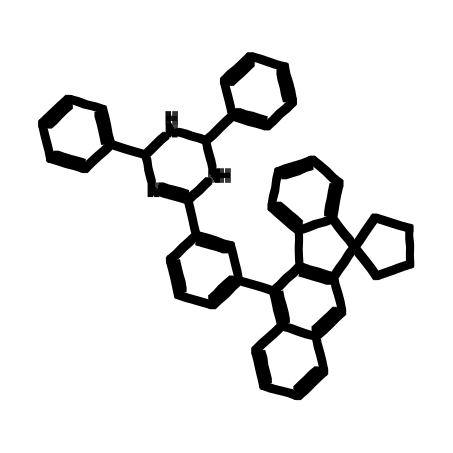 c1ccc(C2N=C(c3cccc(-c4c5c(cc6ccccc46)C4(CCCC4)c4ccccc4-5)c3)NC(c3ccccc3)N2)cc1